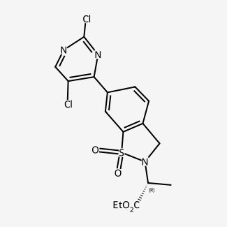 CCOC(=O)[C@@H](C)N1Cc2ccc(-c3nc(Cl)ncc3Cl)cc2S1(=O)=O